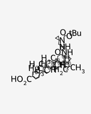 C=C(C)[C@@H]1CC[C@]2(NC(=O)NCC3(NC(=O)OC(C)(C)C)CC3)CC[C@]3(C)[C@H](CC[C@@H]4[C@@]5(C)CC=C(c6ccc(C(=O)O)cc6)C(C)(C)[C@@H]5CC[C@]43C)[C@@H]12